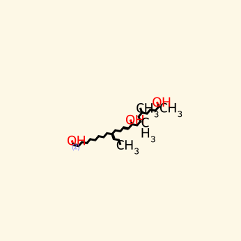 CCC=C(CCC=CC(O)CC(C)CC(C)CCCC(C)O)CCCCCCC/C=C\O